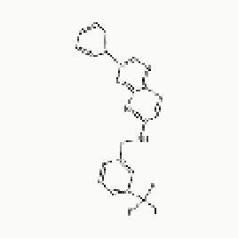 FC(F)(F)c1cccc(CNc2ccc3ncc(-c4ccccc4)nc3n2)c1